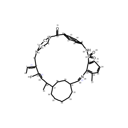 C/C=C1CN2CCN(CC2)C(=O)c2ccc(cc2)NS(=O)(=O)c2cccc(C)c2/N=C\C2CCCCCC(CC2)C(C)\C=C/1F